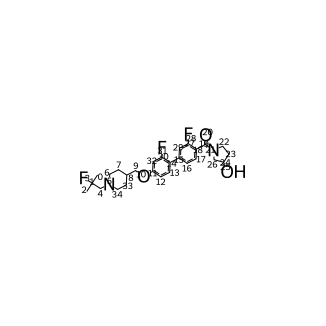 CC(C)(F)CN1CCC(COc2ccc(-c3ccc(C(=O)N4CC[C@@H](O)C4)c(F)c3)c(F)c2)CC1